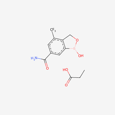 CCC(=O)O.NC(=O)c1cc2c(c(C(F)(F)F)c1)COB2O